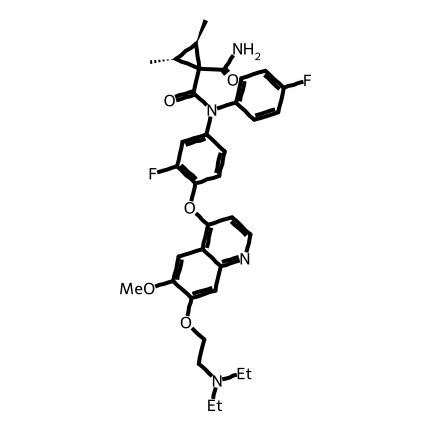 CCN(CC)CCOc1cc2nccc(Oc3ccc(N(C(=O)C4(C(N)=O)[C@H](C)[C@H]4C)c4ccc(F)cc4)cc3F)c2cc1OC